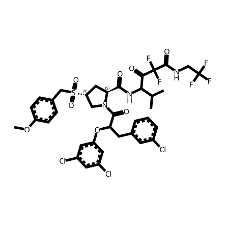 COc1ccc(CS(=O)(=O)[C@@H]2C[C@@H](C(=O)NC(C(=O)C(F)(F)C(=O)NCC(F)(F)F)C(C)C)N(C(=O)C(Cc3cccc(Cl)c3)Oc3cc(Cl)cc(Cl)c3)C2)cc1